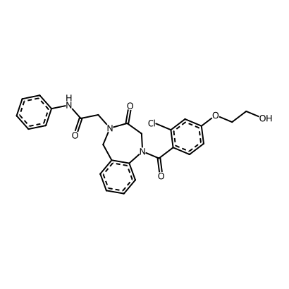 O=C(CN1Cc2ccccc2N(C(=O)c2ccc(OCCO)cc2Cl)CC1=O)Nc1ccccc1